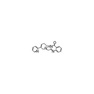 O=c1[nH]c(CN2CCC=C(c3ccccn3)C2)nc2ccccc12